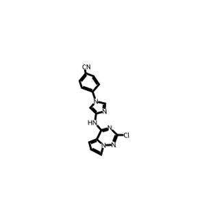 N#Cc1ccc(-n2cnc(Nc3nc(Cl)nn4cccc34)c2)cc1